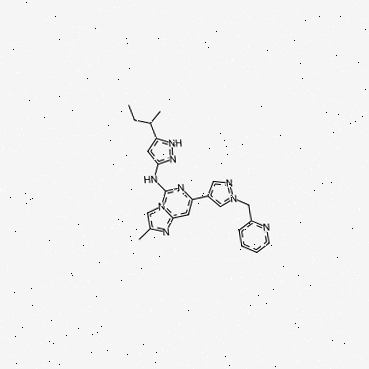 CCC(C)c1cc(Nc2nc(-c3cnn(Cc4ccccn4)c3)cc3nc(C)cn23)n[nH]1